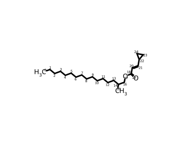 CCCCCCCCCCCCCCC(C)COC(=O)C=CC1CC1